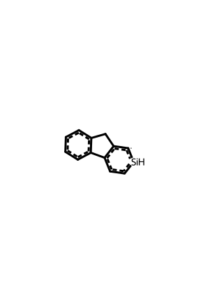 [c]1[siH]ccc2c1Cc1ccccc1-2